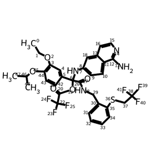 CCOc1cc(C(Nc2ccc3c(N)nccc3c2)(OC(=O)C(F)(F)F)C(=O)NCc2ccccc2SCC(F)(F)F)ccc1OC(C)C